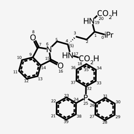 CC(C)C(CC[C@@H](CN1C(=O)c2ccccc2C1=O)NC(=O)O)NC(=O)O.c1ccc(P(c2ccccc2)c2ccccc2)cc1